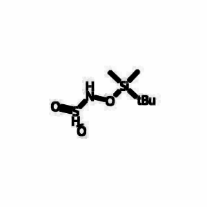 CC(C)(C)[Si](C)(C)ON[SH](=O)=O